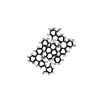 Cc1cccc(C)c1-c1ccc2c(c1)N(c1ccc3ccc4c(N5c6cc(-c7ccccc7)ccc6-c6ccccc6-c6ccc(-c7c(C)cccc7C)cc65)ccc5ccc1c3c54)c1cc(-c3ccccc3)ccc1-c1ccccc1-2